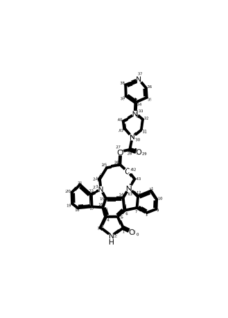 O=C1NCc2c1c1c3ccccc3n3c1c1c2c2ccccc2n1CCC(OC(=O)N1CCN(c2ccncc2)CC1)CC3